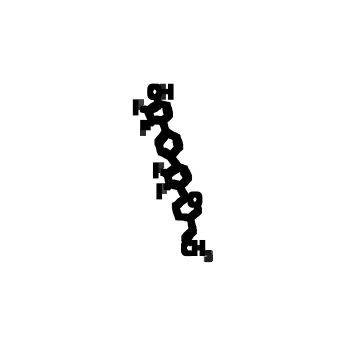 C/C=C/C1CCC(c2ccc(-c3ccc(-c4ccc(O)c(F)c4F)cc3)c(F)c2F)OC1